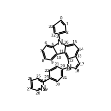 c1ccc(-n2c3ccccc3c3c4c(ccc32)ccn4-c2ccc(-c3ccccn3)cc2)cc1